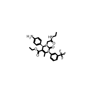 CCNC(=O)CN1C(=O)N(c2cccc(C(F)(F)F)c2)C(C)=C(C(=O)OCC)[C@H]1c1ccc(N)cc1